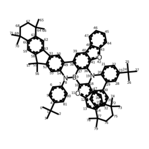 CC(C)(C)c1ccc(N2B3c4oc5cc6c(cc5c4N(c4ccc(C(C)(C)C)cc4-c4ccccc4)c4c3c(cc3c4oc4ccccc43)-c3cc4c(cc32)C(C)(C)c2cc3c(cc2-4)C(C)(C)CCC3(C)C)C(C)(C)CCC6(C)C)cc1